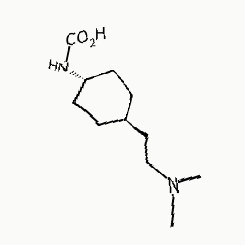 CN(C)CC[C@H]1CC[C@H](NC(=O)O)CC1